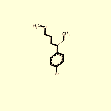 CC[C@@H](CCCOC)c1ccc(Br)cc1